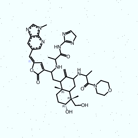 C=C1C(NC(C)C(=O)N2CCOCC2)CC2[C@](C)(CC[C@@H](O)[C@@]2(C)CO)C1CC(NC(C)C(=O)NC1=NCC=N1)C1=C/C(=C\c2cnc3c(c2)ncn3C)OC1=O